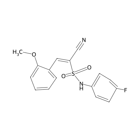 COc1ccccc1/C=C(/C#N)S(=O)(=O)Nc1ccc(F)cc1